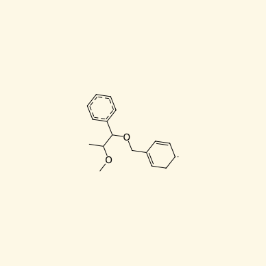 COC(C)C(OCC1=CC[CH]C=C1)c1ccccc1